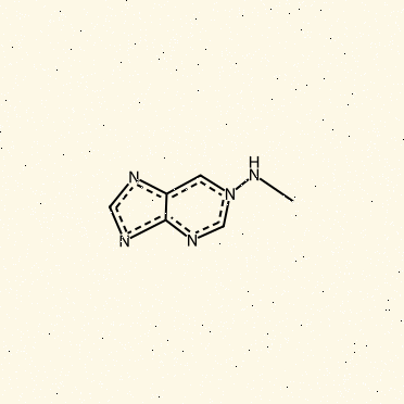 CNn1cnc2ncnc-2c1